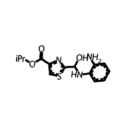 CC(C)OC(=O)c1csc(C(O)Nc2ccccc2N)n1